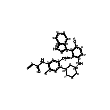 C=CC(=O)Nc1cc(OC)c(N2CCC[C@@H](Nc3ncc(Cl)c(-c4c[nH]c5ccccc45)n3)C2)cc1C